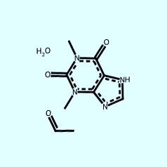 CC=O.Cn1c(=O)c2[nH]cnc2n(C)c1=O.O